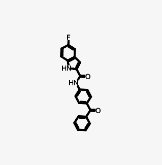 O=C(c1ccccc1)c1ccc(NC(=O)c2cc3cc(F)ccc3[nH]2)cc1